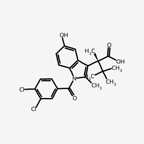 Cc1c([C@](C)(C(=O)O)C(C)(C)C)c2cc(O)ccc2n1C(=O)c1ccc(Cl)c(Cl)c1